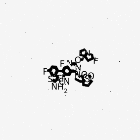 N#Cc1c(N)sc2c(F)ccc(-c3c(Cl)cc4c(N5CCC6(CCCS6(=O)=O)C5)nc(OC[C@@]56CCCN5C[C@H](F)C6)nc4c3F)c12